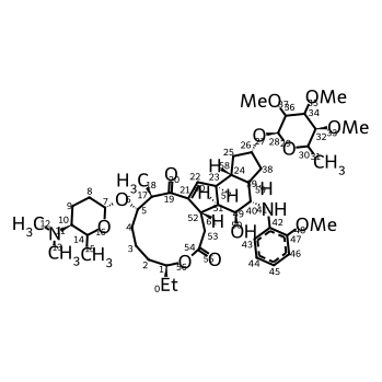 CC[C@H]1CCC[C@H](O[C@H]2CC[C@H](N(C)C)C(C)O2)[C@@H](C)C(=O)C2=C[C@H]3[C@@H]4C[C@H](O[C@@H]5OC(C)[C@H](OC)C(OC)C5OC)C[C@H]4[C@H](Nc4ccccc4OC)[C@@H](O)[C@H]3[C@@H]2CC(=O)O1